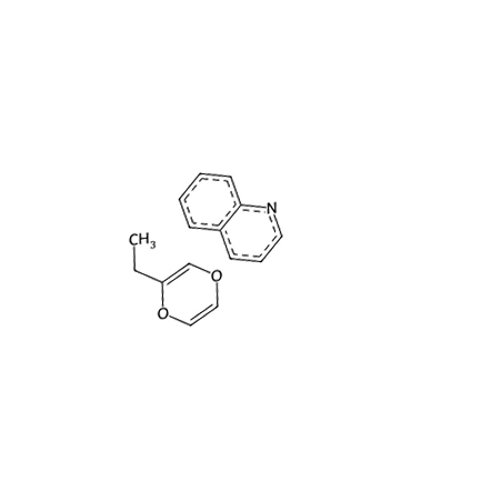 CCC1=COC=CO1.c1ccc2ncccc2c1